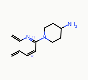 C=C/C=C\C(=N/C=C)N1CCC(N)CC1